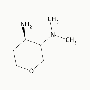 CN(C)C1COCC[C@H]1N